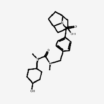 CN(Cc1ccc(C(=O)N2C3CCC2CC(O)C3)cc1)C(=O)N(C)C1CCC(O)CC1